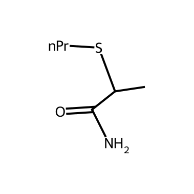 CCCSC(C)C(N)=O